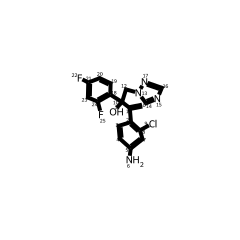 C=C(c1ccc(N)cc1Cl)C(O)(Cn1cncn1)c1ccc(F)cc1F